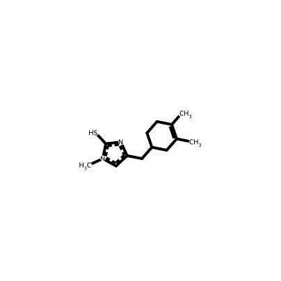 CC1=C(C)CC(Cc2cn(C)c(S)n2)CC1